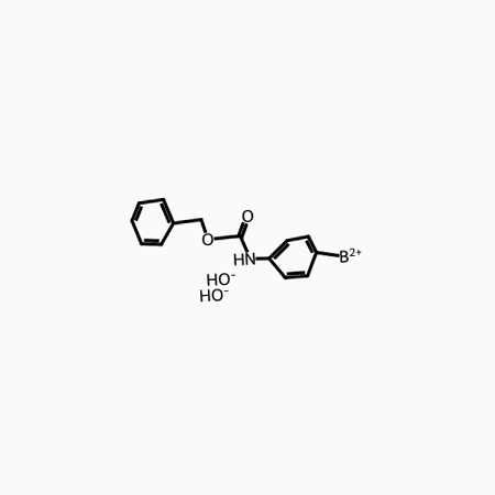 [B+2]c1ccc(NC(=O)OCc2ccccc2)cc1.[OH-].[OH-]